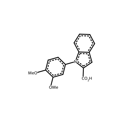 COc1ccc(-n2c(C(=O)O)cc3ccccc32)cc1OC